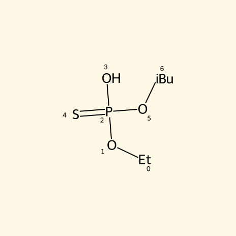 CCOP(O)(=S)OC(C)CC